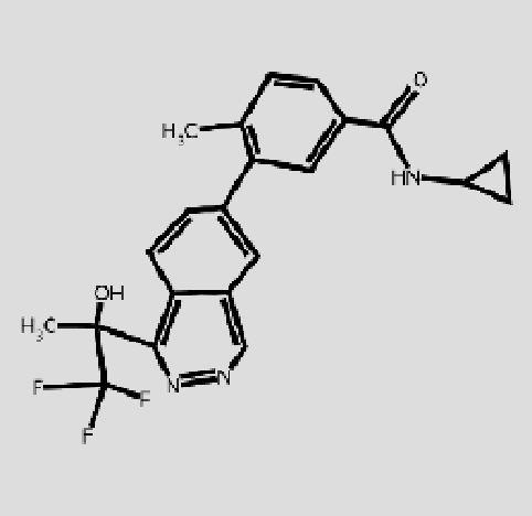 Cc1ccc(C(=O)NC2CC2)cc1-c1ccc2c(C(C)(O)C(F)(F)F)nncc2c1